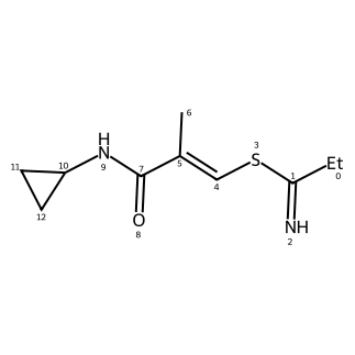 CCC(=N)S/C=C(\C)C(=O)NC1CC1